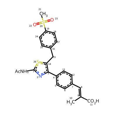 CC(=O)Nc1nc(-c2ccc(C=C(C)C(=O)O)cc2)c(Cc2ccc(S(C)(=O)=O)cc2)s1